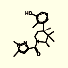 Cc1c(O)cccc1[C@]1(C)CCN(C(=O)c2cc(C)n(C)n2)[C@H](C)C1(C)C